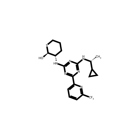 C[C@@H](Nc1nc(N[C@H]2CCCS[C@@H]2O)nc(-c2cccc(C(F)(F)F)n2)n1)C1CC1